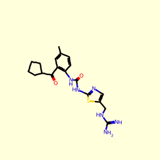 Cc1ccc(NC(=O)Nc2ncc(CNC(=N)N)s2)c(C(=O)C2CCCC2)c1